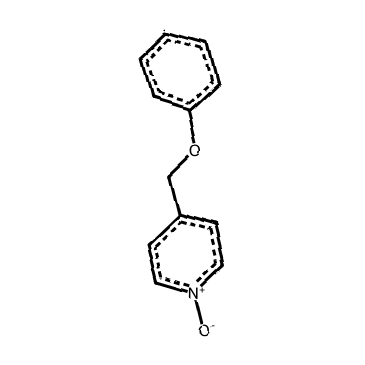 [O-][n+]1ccc(COc2cc[c]cc2)cc1